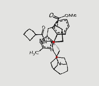 COC(=O)N1CCc2c(nc(C)n2C2CC3CCC(C2)N3CC[C@H](NC(=O)C2CCC2)c2ccccc2)C1